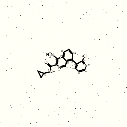 Nc1c(C(=O)NC2CC2)ncc2c(-c3cccnc3Cl)cccc12